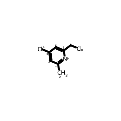 Cc1cc(Cl)cc(CCl)n1